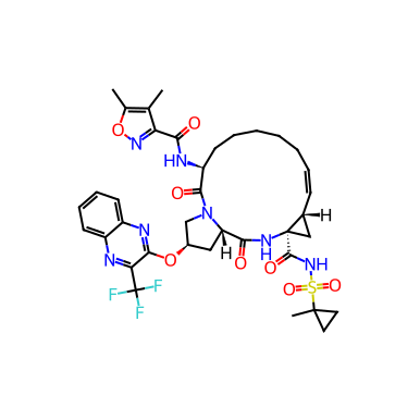 Cc1onc(C(=O)N[C@H]2CCCCCC=C[C@@H]3C[C@@]3(C(=O)NS(=O)(=O)C3(C)CC3)NC(=O)[C@@H]3C[C@@H](Oc4nc5ccccc5nc4C(F)(F)F)CN3C2=O)c1C